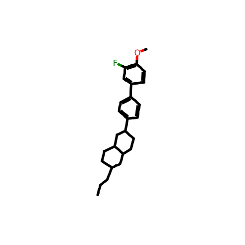 CCCC1CCC2CC(c3ccc(-c4ccc(OC)c(F)c4)cc3)CCC2C1